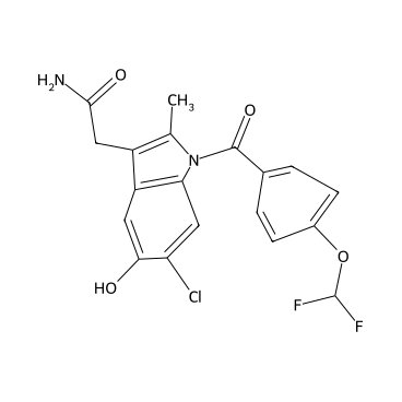 Cc1c(CC(N)=O)c2cc(O)c(Cl)cc2n1C(=O)c1ccc(OC(F)F)cc1